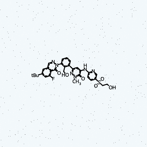 Cn1nc(-c2cccc(-n3ncc4cc(C(C)(C)C)cc(F)c4c3=O)c2CO)cc(Nc2ccc(S(=O)(=O)CCO)cn2)c1=O